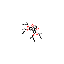 CCCCC(CC)COc1cc2c3cc(OCC(CC)CCCC)c(OCC(CC)CCCC)cc3c3c(OC)ccc(OC)c3c2cc1OCC(CC)CCCC